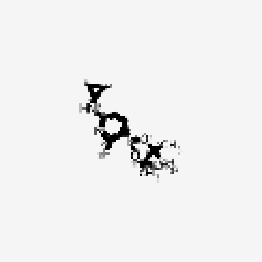 CC1(C)OB(c2ccc(NC3CC3)nc2F)OC1(C)C